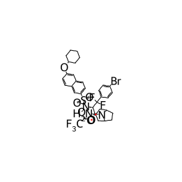 NC1CC2CCC(C1)N2C(=O)[C@@H](N(OC(=O)C(F)(F)F)S(=O)(=O)c1ccc2cc(OC3CCCCC3)ccc2c1)C(F)(F)c1ccc(Br)cc1